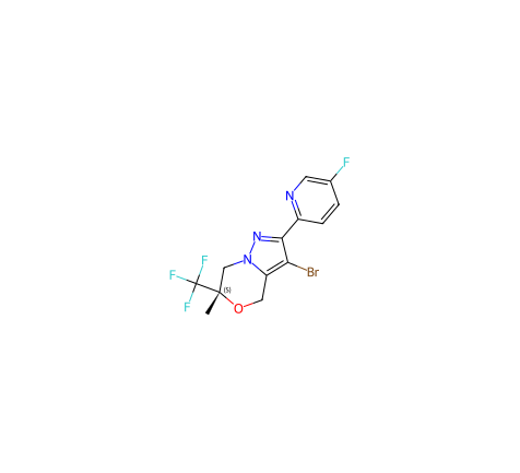 C[C@@]1(C(F)(F)F)Cn2nc(-c3ccc(F)cn3)c(Br)c2CO1